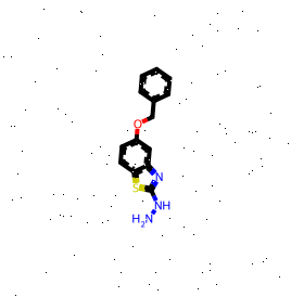 NNc1nc2cc(OCc3ccccc3)ccc2s1